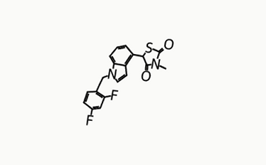 CN1C(=O)SC(c2cccc3c2ccn3Cc2ccc(F)cc2F)C1=O